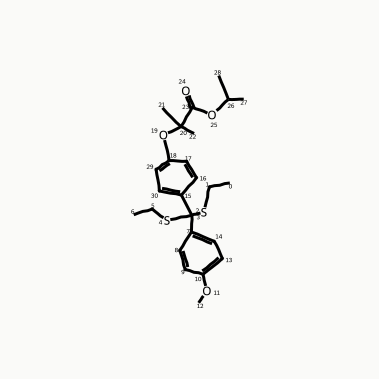 CCSC(SCC)(c1ccc(OC)cc1)c1ccc(OC(C)(C)C(=O)OC(C)C)cc1